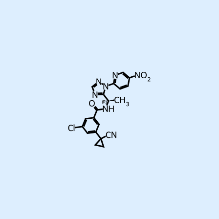 C[C@@H](NC(=O)c1cc(Cl)cc(C2(C#N)CC2)c1)c1ncnn1-c1ccc([N+](=O)[O-])cn1